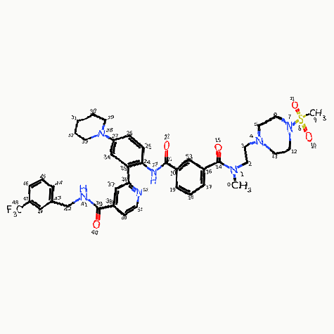 CN(CCN1CCN(S(C)(=O)=O)CC1)C(=O)c1cccc(C(=O)Nc2ccc(N3CCCCC3)cc2-c2cc(C(=O)NCc3cccc(C(F)(F)F)c3)ccn2)c1